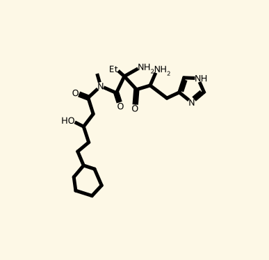 CCC(N)(C(=O)C(N)Cc1c[nH]cn1)C(=O)N(C)C(=O)CC(O)CCC1CCCCC1